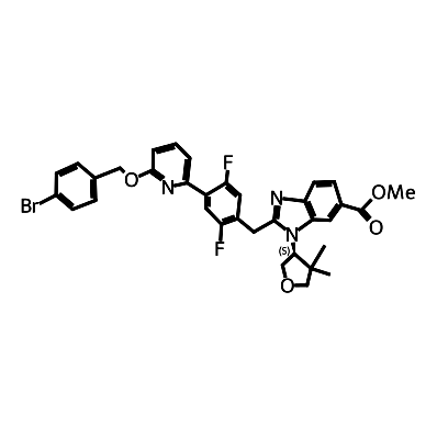 COC(=O)c1ccc2nc(Cc3cc(F)c(-c4cccc(OCc5ccc(Br)cc5)n4)cc3F)n([C@@H]3COCC3(C)C)c2c1